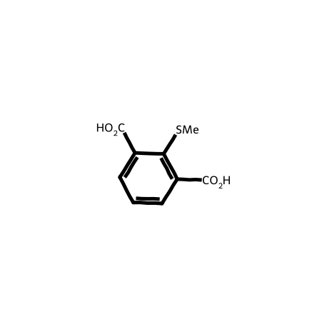 CSc1c(C(=O)O)cccc1C(=O)O